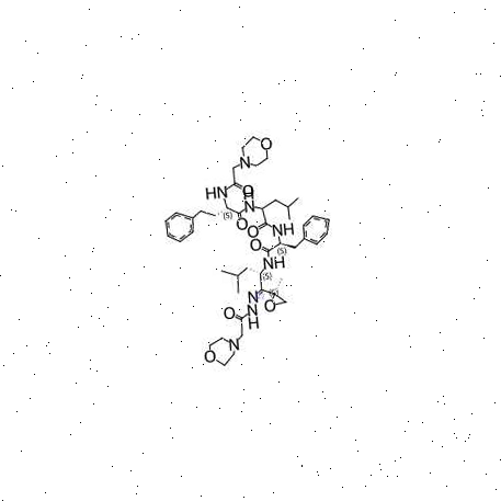 CC(C)CC(NC(=O)[C@H](CCc1ccccc1)NC(=O)CN1CCOCC1)C(=O)N[C@@H](Cc1ccccc1)C(=O)N[C@@H](CC(C)C)/C(=N/NC(=O)CN1CCOCC1)[C@@]1(C)CO1